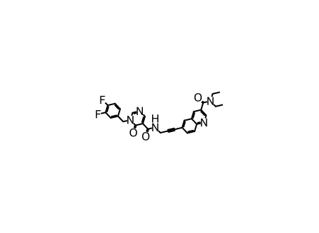 CCN(CC)C(=O)c1cnc2ccc(C#CCNC(=O)c3cncn(Cc4ccc(F)c(F)c4)c3=O)cc2c1